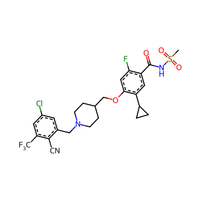 CS(=O)(=O)NC(=O)c1cc(C2CC2)c(OCC2CCN(Cc3cc(Cl)cc(C(F)(F)F)c3C#N)CC2)cc1F